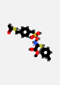 COC(=O)/C(=N/OS(=O)(=O)Cc1ccc(CSC(C)=O)cc1)Sc1ccc(C)cc1